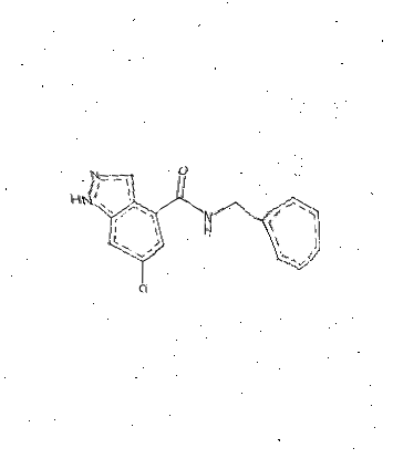 O=C(NCc1ccccc1)c1cc(Cl)cc2[nH]ncc12